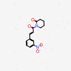 O=C(C=Cc1cccc([N+](=O)[O-])c1)N1CCCCC1=O